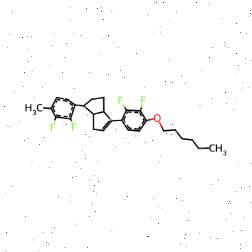 CCCCCCOc1ccc(C2=CCC3C2CCC3c2ccc(C)c(F)c2F)c(F)c1F